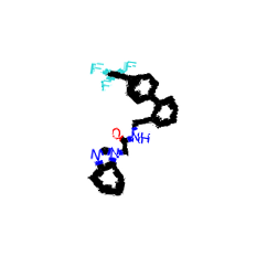 O=C(Cn1cnc2ccccc21)NCc1ccccc1-c1ccc(C(F)(F)F)cc1